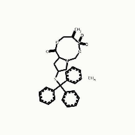 C.C=C1COC(=O)C2CC(SC(c3ccccc3)(c3ccccc3)c3ccccc3)CN2COS1(=O)=O